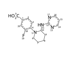 O=C(O)c1ccc(N2CCCCC2Nc2ncccn2)c(F)c1